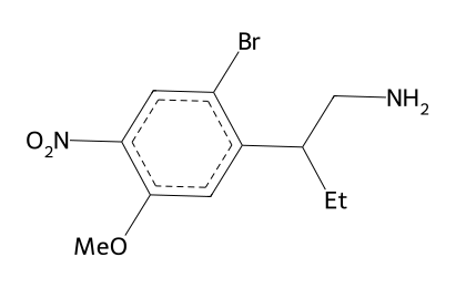 CCC(CN)c1cc(OC)c([N+](=O)[O-])cc1Br